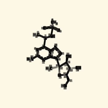 CN(NS(C)(=O)=O)c1nc(N)nc2c1ncn2[C@]1(C)O[C@H](CO)[C@@H](O)[C@@H]1O